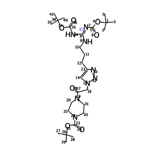 CC(C)(C)OC(=O)/N=C(\NCCCc1cn(CC(=O)N2CCN(C(=O)OC(C)(C)C)CC2)nn1)NC(=O)OC(C)(C)C